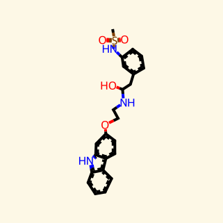 CS(=O)(=O)Nc1cccc(CC(O)NCCOc2ccc3c(c2)[nH]c2ccccc23)c1